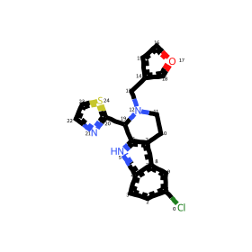 Clc1ccc2[nH]c3c(c2c1)CCN(Cc1ccoc1)C3c1nccs1